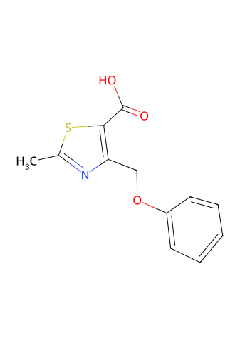 Cc1nc(COc2ccccc2)c(C(=O)O)s1